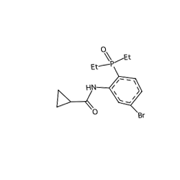 CCP(=O)(CC)c1ccc(Br)cc1NC(=O)C1CC1